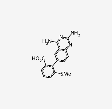 CSc1cccc(C(=O)O)c1-c1ccc2nc(N)nc(N)c2c1